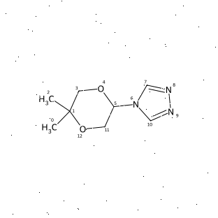 CC1(C)COC(n2[c]nnc2)CO1